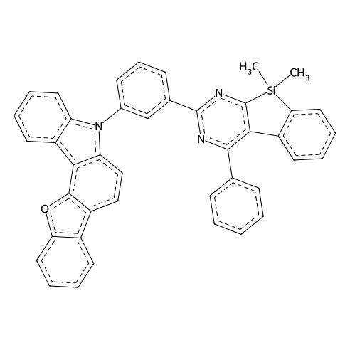 C[Si]1(C)c2ccccc2-c2c(-c3ccccc3)nc(-c3cccc(-n4c5ccccc5c5c6oc7ccccc7c6ccc54)c3)nc21